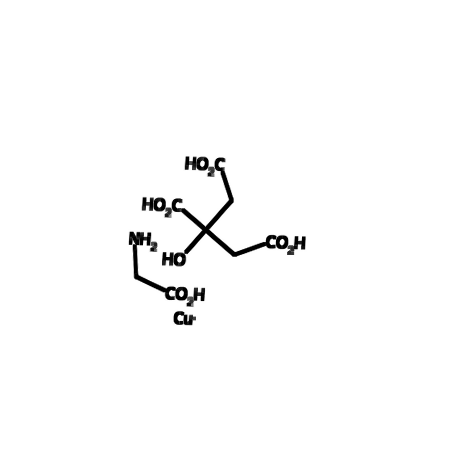 NCC(=O)O.O=C(O)CC(O)(CC(=O)O)C(=O)O.[Cu]